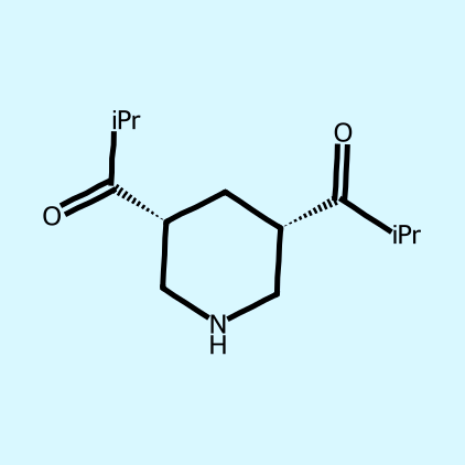 CC(C)C(=O)[C@@H]1CNC[C@H](C(=O)C(C)C)C1